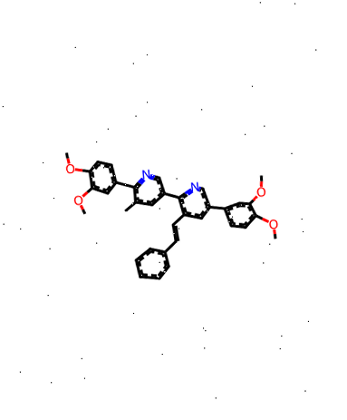 COc1ccc(-c2cnc(-c3cnc(-c4ccc(OC)c(OC)c4)c(C)c3)c(/C=C/c3ccccc3)c2)cc1OC